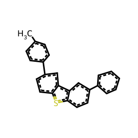 Cc1ccc(-c2ccc3sc4ccc(-c5ccccc5)cc4c3c2)cc1